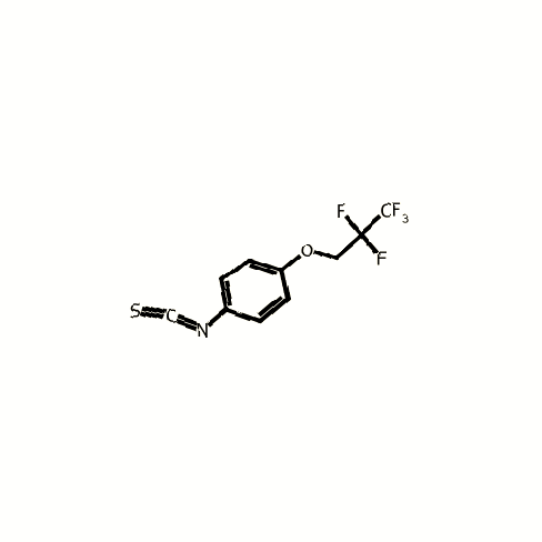 FC(F)(F)C(F)(F)COc1ccc(N=C=S)cc1